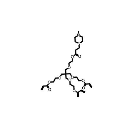 C=CC(=C)OCCOCC(COCCOC(=O)C=C)(COCCOC(=O)C=C)COCCOC(=O)CCN1CCN(C)CC1